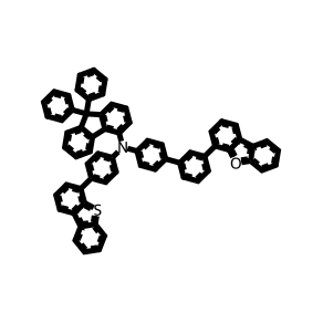 c1ccc(C2(c3ccccc3)c3ccccc3-c3c(N(c4ccc(-c5cccc(-c6cccc7c6oc6ccccc67)c5)cc4)c4ccc(-c5cccc6c5sc5ccccc56)cc4)cccc32)cc1